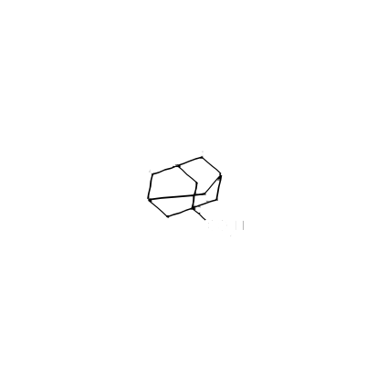 O=C(O)C12C[C]3CC(CC(C3)C1)C2